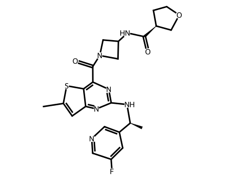 Cc1cc2nc(N[C@@H](C)c3cncc(F)c3)nc(C(=O)N3CC(NC(=O)[C@H]4CCOC4)C3)c2s1